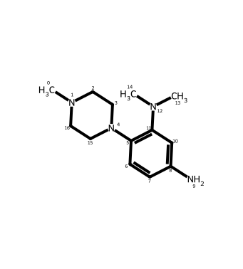 CN1CCN(c2ccc(N)cc2N(C)C)CC1